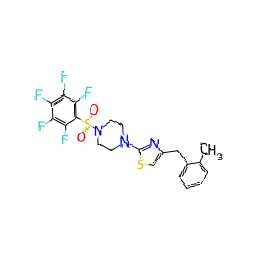 Cc1ccccc1Cc1csc(N2CCN(S(=O)(=O)c3c(F)c(F)c(F)c(F)c3F)CC2)n1